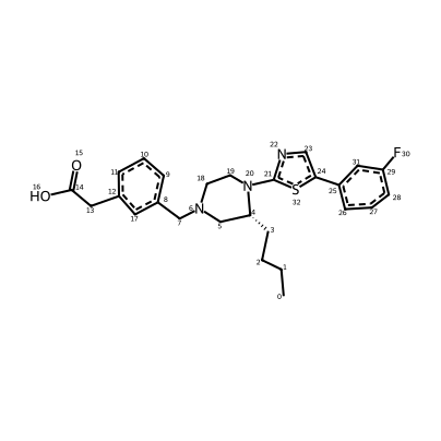 CCCC[C@@H]1CN(Cc2cccc(CC(=O)O)c2)CCN1c1ncc(-c2cccc(F)c2)s1